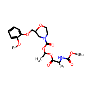 CCOc1ccccc1OCC1CN(C(=O)OC(C)OC(=O)[C@@H](NC(=O)OC(C)(C)C)C(C)C)CCO1